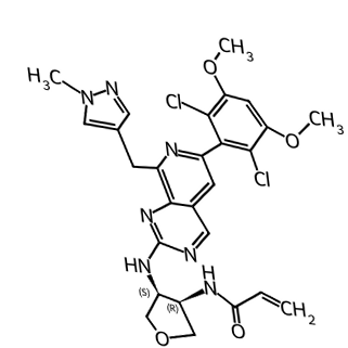 C=CC(=O)N[C@H]1COC[C@H]1Nc1ncc2cc(-c3c(Cl)c(OC)cc(OC)c3Cl)nc(Cc3cnn(C)c3)c2n1